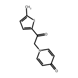 Cc1ccc(C(=O)Cn2ccc(=O)cc2)s1